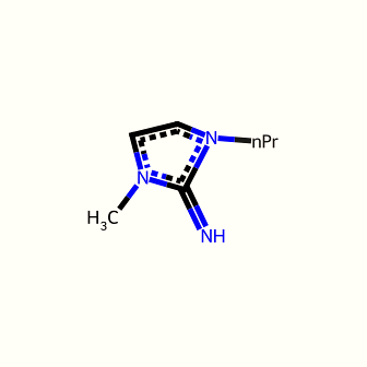 CCCn1ccn(C)c1=N